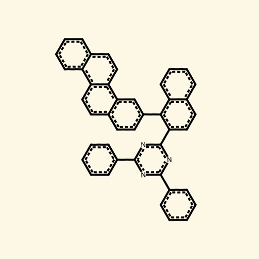 c1ccc(-c2nc(-c3ccccc3)nc(-c3ccc4ccccc4c3-c3ccc4ccc5c6ccccc6ccc5c4c3)n2)cc1